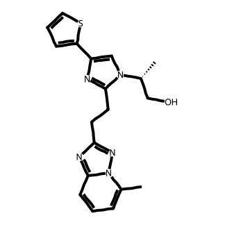 Cc1cccc2nc(CCc3nc(-c4cccs4)cn3[C@H](C)CO)nn12